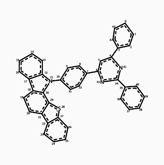 c1ccc(-c2cc(-c3ccc(-n4c5ccccc5c5ccc6c7ccccc7sc6c54)cc3)nc(-c3ccccc3)n2)cc1